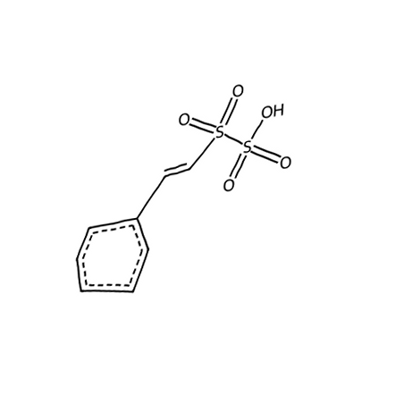 O=S(=O)(O)S(=O)(=O)C=Cc1ccccc1